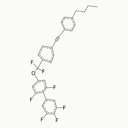 CCCCc1ccc(C#Cc2ccc(C(F)(F)Oc3cc(F)c(-c4cc(F)c(F)c(F)c4)c(F)c3)cc2)cc1